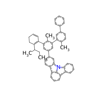 CCC(C)C1=C(c2cc(-c3ccc4c5cccc6c7ccccc7n(c4c3)c65)cc(-c3cc(-c4ccccc4)ccc3C)c2C)C=CCC1